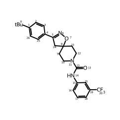 CC(C)(C)c1ccc(C2=NOC3(CCN(C(=O)Nc4cccc(C(F)(F)F)c4)CC3)C2)cc1